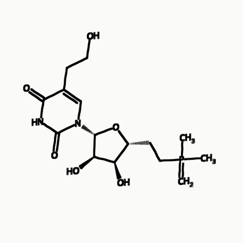 C=P(C)(C)CC[C@H]1O[C@@H](n2cc(CCO)c(=O)[nH]c2=O)[C@H](O)[C@@H]1O